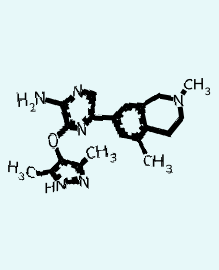 Cc1cc(-c2cnc(N)c(Oc3c(C)n[nH]c3C)n2)cc2c1CCN(C)C2